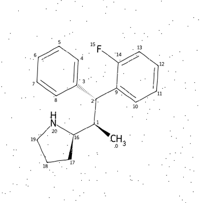 C[C@H]([C@H](c1ccccc1)c1ccccc1F)[C@H]1CCCN1